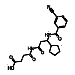 N#Cc1cccc(C(=O)NC(CC(=O)NC(=O)CCC(=O)O)C2CCCC2)c1